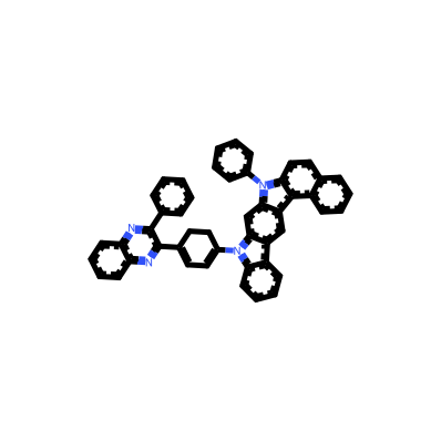 C1=C(c2nc3ccccc3nc2-c2ccccc2)CCC(n2c3ccccc3c3cc4c5c6ccccc6ccc5n(-c5ccccc5)c4cc32)=C1